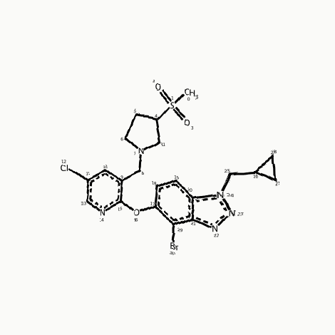 CS(=O)(=O)C1CCN(Cc2cc(Cl)cnc2Oc2ccc3c(nnn3CC3CC3)c2Br)C1